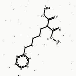 CCCCOC(=O)C(CCCCCc1ccccc1)C(=O)OCCCC